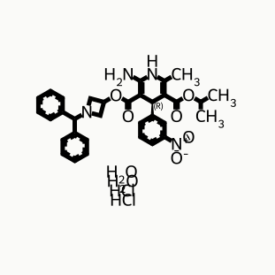 CC1=C(C(=O)OC(C)C)[C@@H](c2cccc([N+](=O)[O-])c2)C(C(=O)OC2CN(C(c3ccccc3)c3ccccc3)C2)=C(N)N1.Cl.Cl.O.O